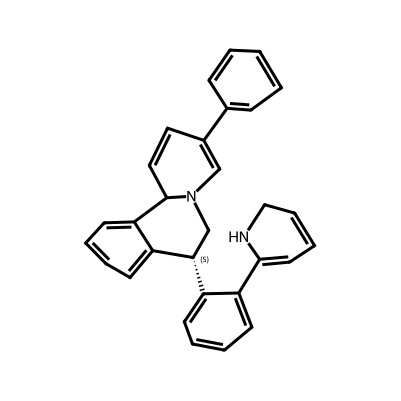 C1=CCNC(c2ccccc2[C@H]2CN3C=C(c4ccccc4)C=CC3c3ccccc32)=C1